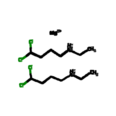 C[CH2][AlH2-][CH2]CCC(Cl)Cl.C[CH2][AlH2-][CH2]CCC(Cl)Cl.[Mg+2]